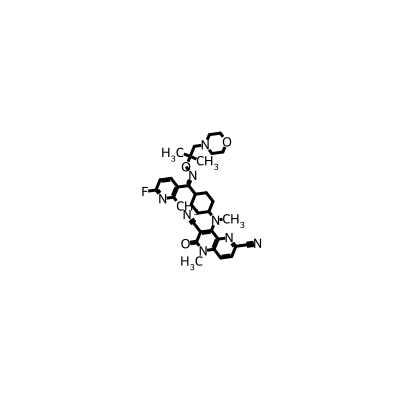 Cc1nc(F)ccc1/C(=N\OC(C)(C)CN1CCOCC1)C1CCC(N(C)c2c(C#N)c(=O)n(C)c3ccc(C#N)nc23)CC1